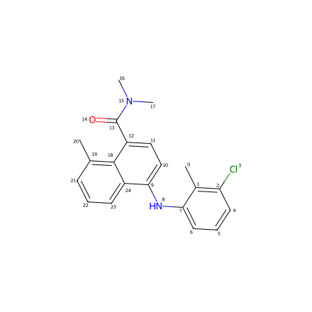 Cc1c(Cl)cccc1Nc1ccc(C(=O)N(C)C)c2c(C)cccc12